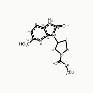 CC(C)(C)OC(=O)N1CCC(n2c(=O)[nH]c3ccc(C(=O)O)nc32)C1